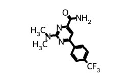 CN(C)c1nc(C(N)=O)cc(-c2ccc(C(F)(F)F)cc2)n1